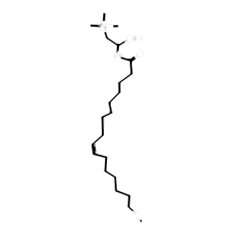 CCCCCCCC/C=C\CCCCCCCC(=O)[P-]C(O)C[N+](C)(C)C